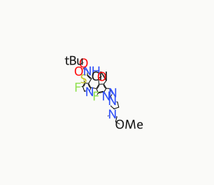 COCCN(C)[C@H]1CCN(c2ncc3c4c(c(-c5ncc(F)c6sc(NC(=O)OC(C)(C)C)c(C#N)c56)c(F)c3n2)COC4)C1